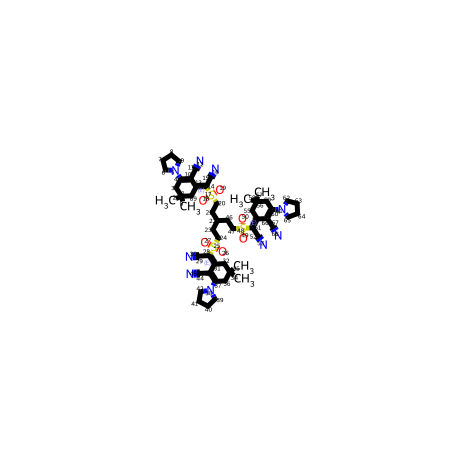 CC1(C)CC(N2CCCC2)=C(C#N)/C(=C(\C#N)S(=O)(=O)CCC(CCS(=O)(=O)/C(C#N)=C2\CC(C)(C)CC(N3CCCC3)=C2C#N)CCS(=O)(=O)/C(C#N)=C2\CC(C)(C)CC(N3CCCC3)=C2C#N)C1